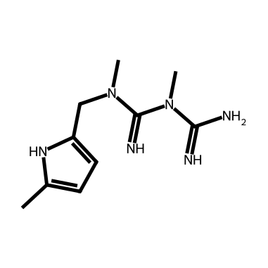 Cc1ccc(CN(C)C(=N)N(C)C(=N)N)[nH]1